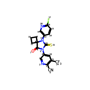 N#Cc1ncc(N2C(=O)C3(CCC3)N(c3ccc(F)nc3)C2=S)cc1C(F)(F)F